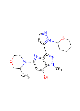 CC1COCCN1c1cc(O)c2c(n1)c(-c1ccnn1C1CCCCO1)nn2C